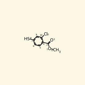 COC(=O)c1ccc(S)cc1Cl